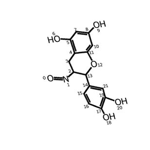 O=NC1Cc2c(O)cc(O)cc2OC1c1ccc(O)c(O)c1